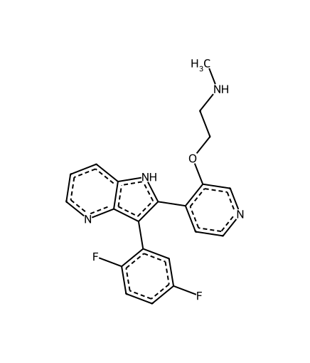 CNCCOc1cnccc1-c1[nH]c2cccnc2c1-c1cc(F)ccc1F